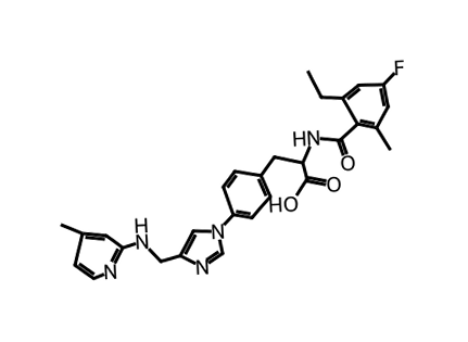 CCc1cc(F)cc(C)c1C(=O)NC(Cc1ccc(-n2cnc(CNc3cc(C)ccn3)c2)cc1)C(=O)O